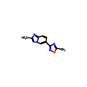 Cc1nc(-c2ccc3nc(C(=O)O)cn3c2)no1